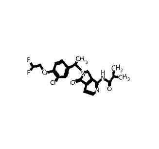 CC(C)C(=O)Nc1nccc2c1CN(C(C)c1ccc(OCC(F)F)c(Cl)c1)C2=O